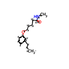 [CH2]CCc1cccc(OCCCCC(=O)NC)c1